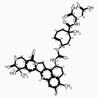 Cc1c(F)cc2nc3c(c4c2c1CC[C@@H]4NC(=O)O[C@H]1/C=C/CCC(C)(C(=O)N[C@@H](CC(=O)O)C(=O)O)CC1)Cn1c-3cc2c(c1=O)COC(=O)[C@@]2(C)O